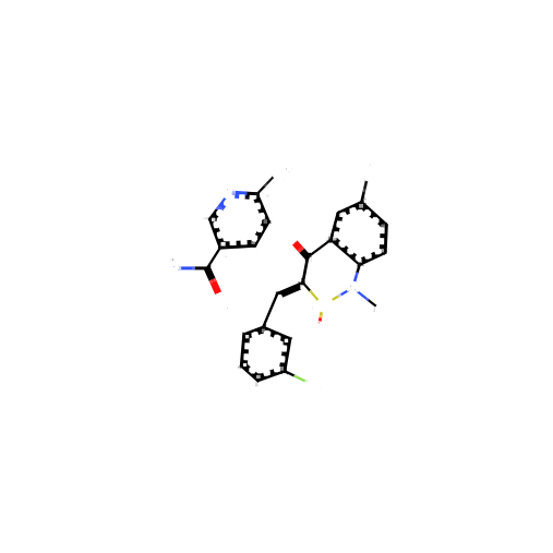 CN1c2ccc(C(=O)O)cc2C(=O)/C(=C/c2cccc(F)c2)[S+]1[O-].COc1ccc(C(N)=O)cn1